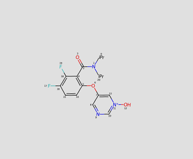 CC(C)N(C(=O)c1c(Oc2cnc[n+](O)c2)ccc(F)c1F)C(C)C